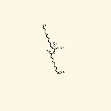 CCCCCCCCCCCCCCCCCC(=O)OC(CCCCCC)C(C)(C)CCCCCCCCCC(C)=O